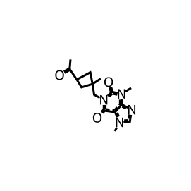 CC(=O)C1CC(C)(Cn2c(=O)c3c(ncn3C)n(C)c2=O)C1